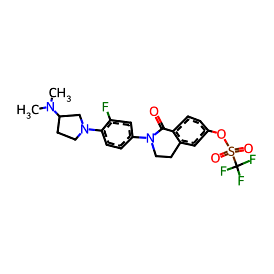 CN(C)C1CCN(c2ccc(N3CCc4cc(OS(=O)(=O)C(F)(F)F)ccc4C3=O)cc2F)C1